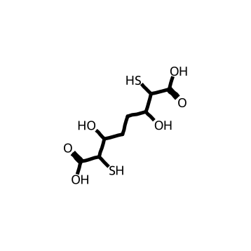 O=C(O)C(S)C(O)CCC(O)C(S)C(=O)O